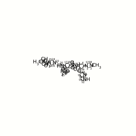 CN1CCN(c2ccc(C(=O)NS(=O)(=O)c3ccc(NCCCN4CCN(C(=O)OC(C)(C)C)CC4)c(S(=O)(=O)C(F)(F)F)c3)c(Oc3cnc4[nH]ccc4c3)c2)CC1